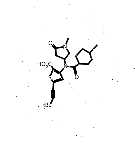 CC1CCC(C(=O)N(c2cc(C#CC(C)(C)C)sc2C(=O)O)C2CC(=O)N(C)C2)CC1